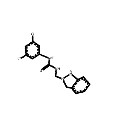 S=C(NCN1Cc2ccccc2N1)Nc1cc(Cl)cc(Cl)c1